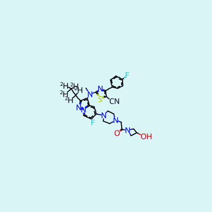 [2H]C([2H])([2H])C([2H])([2H])c1nn2cc(F)c(N3CCN(CC(=O)N4CC(O)C4)CC3)cc2c1N(C)c1nc(-c2ccc(F)cc2)c(C#N)s1